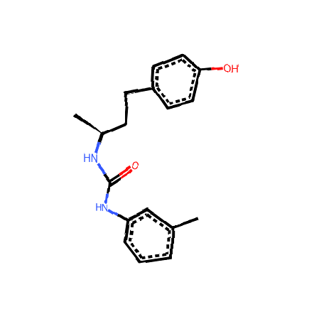 Cc1cccc(NC(=O)N[C@@H](C)CCc2ccc(O)cc2)c1